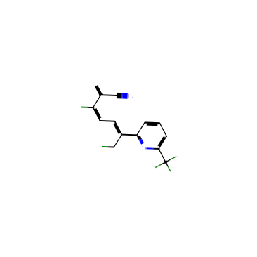 C=C(C#N)/C(F)=C\C=C(/CF)c1cccc(C(F)(F)F)n1